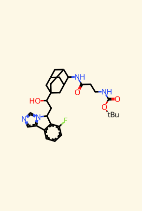 CC(C)(C)OC(=O)NCCC(=O)NC1C2CC3CC1CC(C(O)CC1c4c(F)cccc4-c4cncn41)(C3)C2